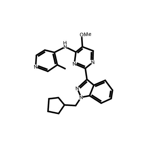 COc1cnc(-c2nn(CC3CCCC3)c3ccccc23)nc1Nc1ccncc1C